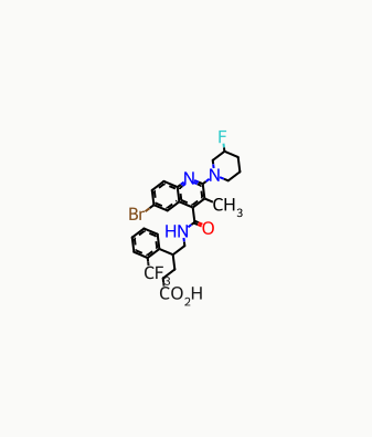 Cc1c(N2CCCC(F)C2)nc2ccc(Br)cc2c1C(=O)NCC(CCC(=O)O)c1ccccc1C(F)(F)F